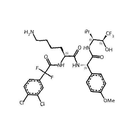 COc1ccc([C@H](NC(=O)[C@H](CCCCN)NC(=O)C(F)(F)c2ccc(Cl)c(Cl)c2)C(=O)N[C@@H](C(C)C)[C@H](O)C(F)(F)F)cc1